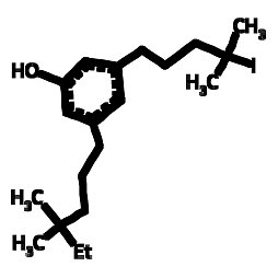 CCC(C)(C)CCCc1cc(O)cc(CCCC(C)(C)I)c1